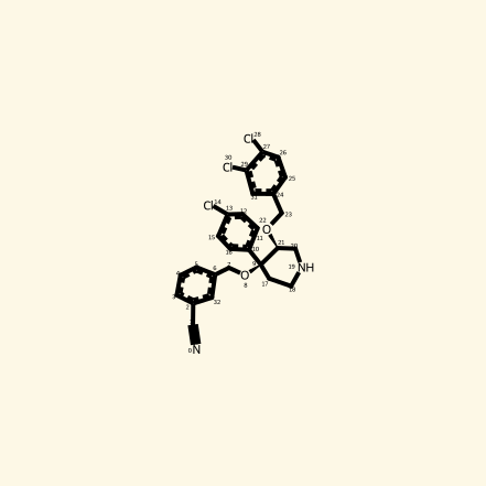 N#Cc1cccc(CO[C@]2(c3ccc(Cl)cc3)CCNC[C@@H]2OCc2ccc(Cl)c(Cl)c2)c1